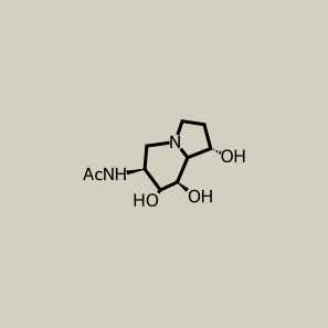 CC(=O)N[C@H]1CN2CC[C@H](O)C2[C@@H](O)[C@@H]1O